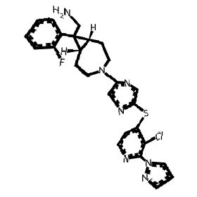 NCC1(c2ccccc2F)[C@@H]2CCN(c3cnc(Sc4ccnc(-n5cccn5)c4Cl)cn3)CC[C@@H]21